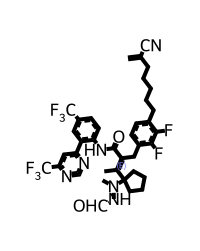 C=C(C#N)CCCCCc1ccc(C/C(C(=O)Nc2ccc(C(F)(F)F)cc2-c2cc(C(F)(F)F)ncn2)=C(/C)C2(N(C)NC=O)CCCC2)c(F)c1F